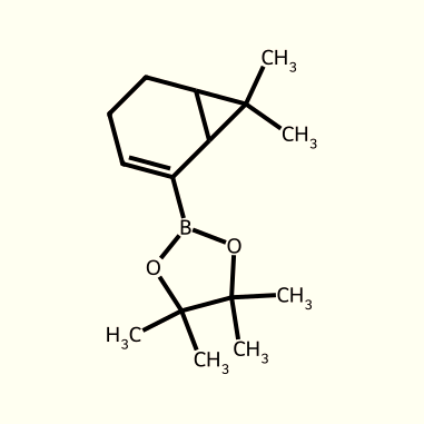 CC1(C)C2CCC=C(B3OC(C)(C)C(C)(C)O3)C21